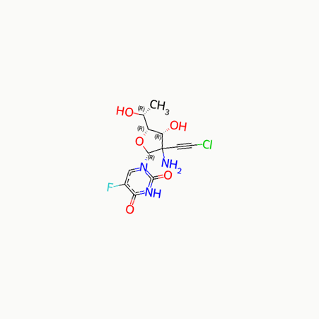 C[C@@H](O)[C@H]1O[C@@H](n2cc(F)c(=O)[nH]c2=O)C(N)(C#CCl)[C@H]1O